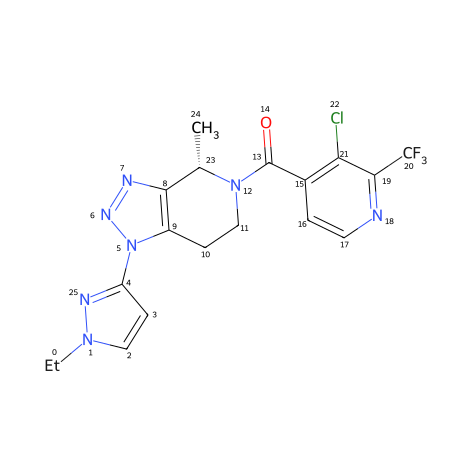 CCn1ccc(-n2nnc3c2CCN(C(=O)c2ccnc(C(F)(F)F)c2Cl)[C@H]3C)n1